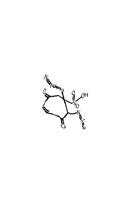 [N-]=[N+]=NC1C(=O)C=CC(=O)C1(N=[N+]=[N-])S(=O)(=O)O